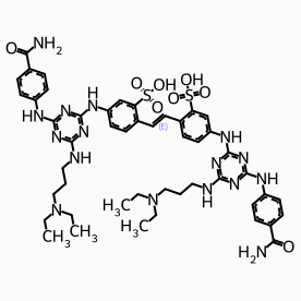 CCN(CC)CCCNc1nc(Nc2ccc(C(N)=O)cc2)nc(Nc2ccc(/C=C/c3ccc(Nc4nc(NCCCN(CC)CC)nc(Nc5ccc(C(N)=O)cc5)n4)cc3S(=O)(=O)O)c(S(=O)(=O)O)c2)n1